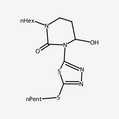 CCCCCCN1CCC(O)N(c2nnc(SCCCCC)s2)C1=O